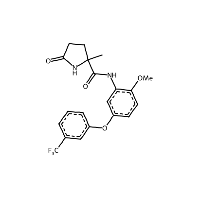 COc1ccc(Oc2cccc(C(F)(F)F)c2)cc1NC(=O)C1(C)CCC(=O)N1